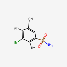 CC(C)c1c(C#N)cc(S(N)(=O)=O)c(C(C)C)c1Br